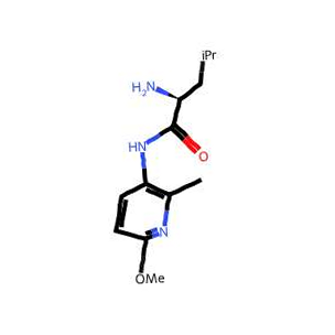 COc1ccc(NC(=O)[C@@H](N)CC(C)C)c(C)n1